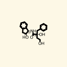 O=C(N[C@H]1c2ccccc2C[C@H]1O)[C@](O)(CCO)Cc1ccccc1